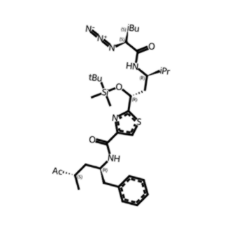 CC[C@H](C)[C@H](N=[N+]=[N-])C(=O)N[C@H](C[C@@H](O[Si](C)(C)C(C)(C)C)c1nc(C(=O)N[C@@H](Cc2ccccc2)C[C@H](C)C(C)=O)cs1)C(C)C